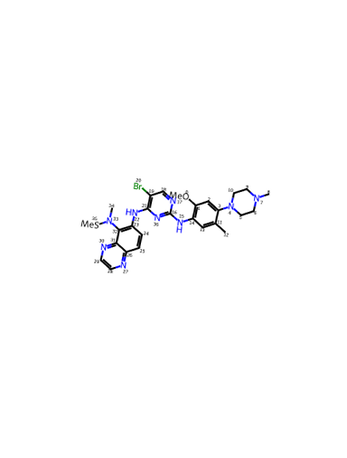 COc1cc(N2CCN(C)CC2)c(C)cc1Nc1ncc(Br)c(Nc2ccc3nccnc3c2N(C)SC)n1